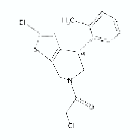 Cc1ccccc1[C@@H]1CN(C(=O)CCl)Cc2sc(Cl)cc21